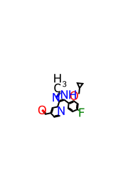 Cc1nc(-c2cc(C=O)ccn2)c(-c2ccc(F)cc2OCC2CC2)[nH]1